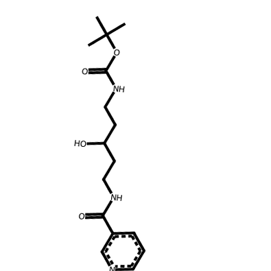 CC(C)(C)OC(=O)NCCC(O)CCNC(=O)c1cccnc1